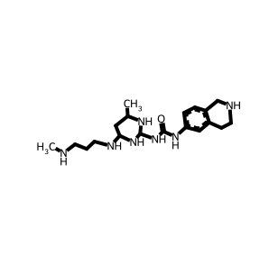 CNCCCNC1CC(C)NC(NC(=O)Nc2ccc3c(c2)CCNC3)N1